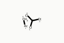 CC(C)=O.CCC(Cl)Cl